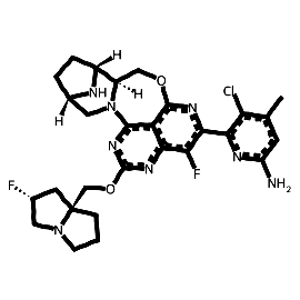 Cc1cc(N)nc(-c2nc3c4c(nc(OC[C@@]56CCCN5C[C@H](F)C6)nc4c2F)N2C[C@@H]4CC[C@@H](N4)[C@H]2CO3)c1Cl